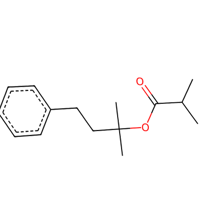 CC(C)C(=O)OC(C)(C)CCc1ccccc1